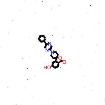 O=C1OC2(CCN(c3cnc(-c4ccccc4)cn3)CC2)c2cc(O)ccc21